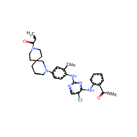 C=CC(=O)N1CCC2(CCCN(c3ccc(Nc4ncc(Cl)c(Nc5ccccc5C(=O)NC)n4)c(OC)c3)C2)CC1